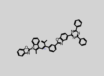 C=C(C)/C(=C\c1c(C)n(-c2nc3ccccc3o2)c2ccccc12)c1cccc(-c2nc3cc(-c4nc(-c5ccccc5)nc(-c5ccccc5)n4)ccc3o2)c1